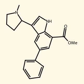 COC(=O)c1cc(-c2ccccc2)cc2c(C3CCCN3C)c[nH]c12